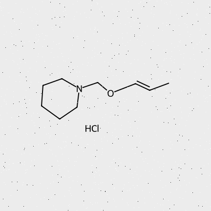 CC=COCN1CCCCC1.Cl